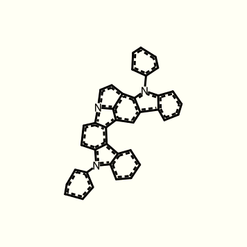 c1ccc(-n2c3ccccc3c3c4c5cc6c7ccccc7n(-c7ccccc7)c6c6ccn(c4ccc32)c56)cc1